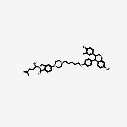 C=C(C)CCC(C(C)=O)N1Cc2cc(N3CCN(CCCCCOc4ccc(C5c6ccc(O)cc6OCC5c5ccc(F)c(C)c5)cc4)CC3)ccc2C1=O